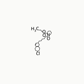 CCCCOC(=O)C1CCCCN1C(=O)CCCCCC1C=CC2=C(CCC(Cl)CC2)C1